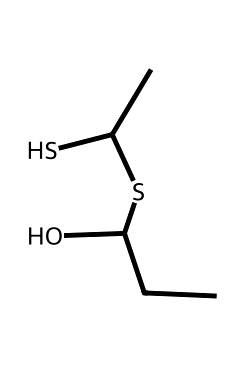 CCC(O)SC(C)S